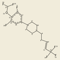 Fc1cc(C2CCC(CC/C=C/C(F)(F)F)CC2)cc(F)c1OC(F)F